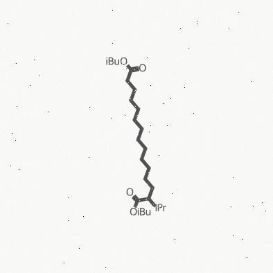 CC(C)COC(=O)CCCCCCCCCCCCC(C(=O)OCC(C)C)C(C)C